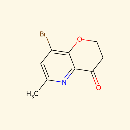 Cc1cc(Br)c2c(n1)C(=O)CCO2